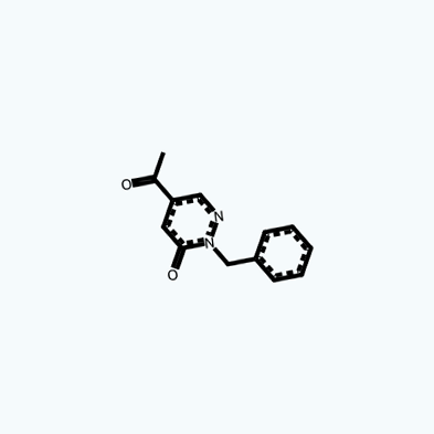 CC(=O)c1cnn(Cc2ccccc2)c(=O)c1